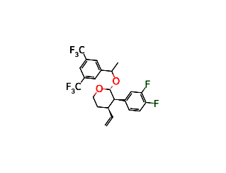 C=C[C@H]1CCO[C@H](OC(C)c2cc(C(F)(F)F)cc(C(F)(F)F)c2)[C@H]1c1ccc(F)c(F)c1